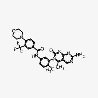 Cc1ccc(NC(=O)c2ccc(N3CCOCC3)c(C(F)(F)F)c2)cc1-n1c(C)c2cnc(N)nc2nc1=O